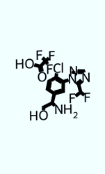 NC(CO)c1ccc(Cl)c(-n2ncnc2C(F)F)c1.O=C(O)C(F)(F)F